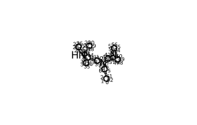 c1ccc(-c2ccc(N(c3ccc(-c4cc5c(-c6ccccc6)c(-c6ccccc6)[nH]c5c5ccccc45)cc3)c3ccc4c(c3)c3ccccc3n4-c3ccccc3)cc2)cc1